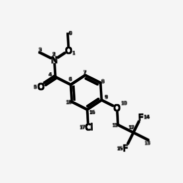 CON(C)C(=O)c1ccc(OCC(C)(F)F)c(Cl)c1